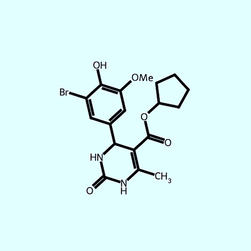 COc1cc(C2NC(=O)NC(C)=C2C(=O)OC2CCCC2)cc(Br)c1O